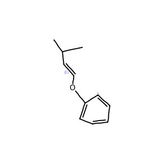 CC(C)/C=C/Oc1[c]cccc1